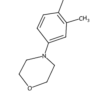 Cc1cc(N2CCOCC2)ccc1I